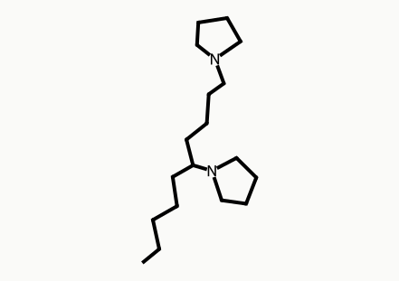 CCCCCC(CCCCN1CCCC1)N1CCCC1